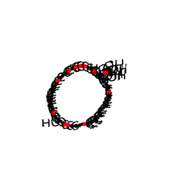 CC1CCCC(C)CCCC(C)CCC(C)CCCC(C)CCCC(C)CCCC(C)CCOC(COC2C(O)C(O)C(O)C2(O)CO)COCCC(C)CCCC(C)CCCC(C)CCCC(C)CCC(C)CCCC(C)CCCC(C)CCCC(C)CCOC(CO)COCCC(C)CCC1